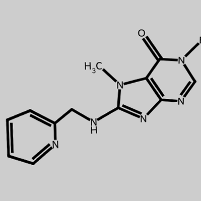 CCn1cnc2nc(NCc3ccccn3)n(C)c2c1=O